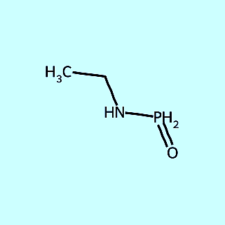 CCN[PH2]=O